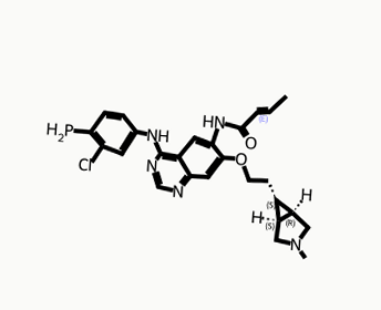 C/C=C/C(=O)Nc1cc2c(Nc3ccc(P)c(Cl)c3)ncnc2cc1OCC[C@@H]1[C@H]2CN(C)C[C@@H]12